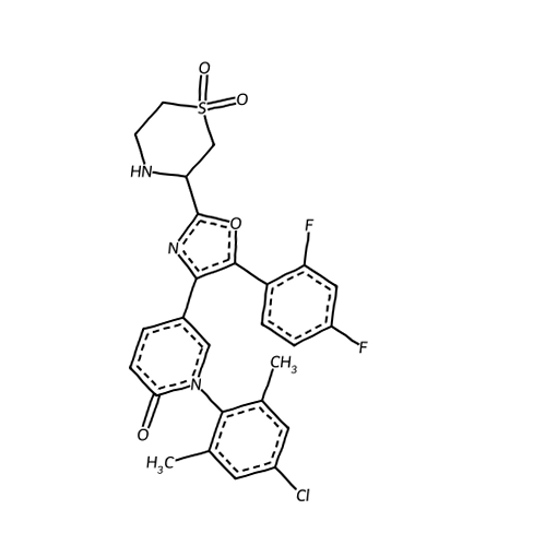 Cc1cc(Cl)cc(C)c1-n1cc(-c2nc(C3CS(=O)(=O)CCN3)oc2-c2ccc(F)cc2F)ccc1=O